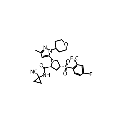 Cc1cc(N2C[C@H](S(=O)(=O)c3ccc(F)cc3C(F)(F)F)C[C@H]2C(=O)NC2(C#N)CC2)n(C2CCOCC2)n1